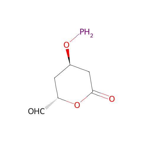 O=C[C@@H]1C[C@@H](OP)CC(=O)O1